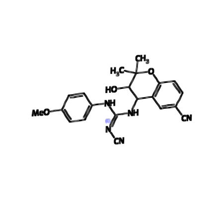 COc1ccc(N/C(=N/C#N)NC2c3cc(C#N)ccc3OC(C)(C)C2O)cc1